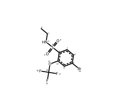 CCNS(=O)(=O)c1ccc(Br)cc1OC(F)(F)F